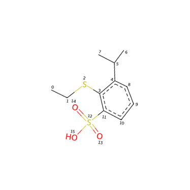 CCSc1c(C(C)C)cccc1S(=O)(=O)O